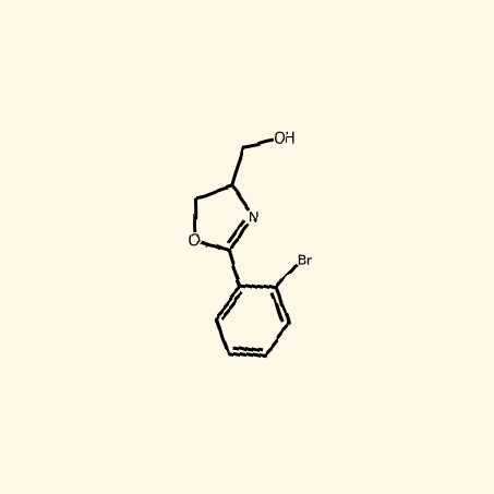 OCC1COC(c2ccccc2Br)=N1